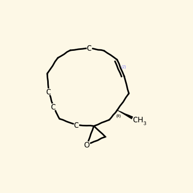 C[C@@H]1C/C=C\CCCCCCCCCC2(CO2)C1